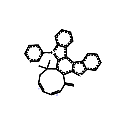 C=C1/C=C\C=C/CC(C)(C)c2c1c1sc3ccccc3c1c1c3ccccc3n(-c3cccnc3)c21